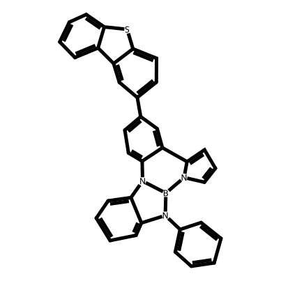 c1ccc(N2B3N(c4ccc(-c5ccc6sc7ccccc7c6c5)cc4-c4cccn43)c3ccccc32)cc1